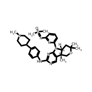 CN1CCC(c2ccc(Nc3ncc4c(n3)N(c3cccc(N=S(C)(C)=O)n3)[C@@H]3CC(C)(C)OC[C@]43C)cc2)CC1